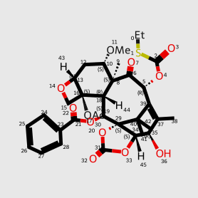 CCSC(=O)O[C@H]1C(=O)[C@]2(C)[C@@H](OC)C[C@H]3OC[C@@]3(OC(C)=O)[C@H]2[C@H](OC(=O)c2ccccc2)[C@]23OC(=O)O[C@H]2[C@H](O)C(C)=C1C3(C)C